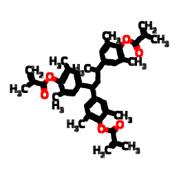 C=C(C)C(=O)Oc1c(C)cc(C(C)CC(c2cc(C)c(OC(=O)C(=C)C)c(C)c2)c2cc(C)c(OC(=O)C(=C)C)c(C)c2)cc1C